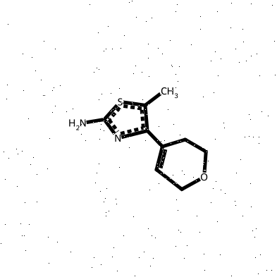 Cc1sc(N)nc1C1=CCOCC1